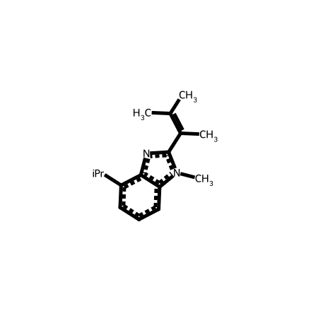 CC(C)=C(C)c1nc2c(C(C)C)cccc2n1C